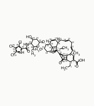 CC[C@@H]1C(C(=O)O)=C[C@]2(C)/C=C/C/C=C/C[C@@H]3C=C[C@@H]4[C@@H](OC5CC(O)C(NC(=O)c6[nH]c(Cl)c(Cl)c6Cl)C(C)O5)[C@@H](C)CC[C@H]4[C@]3(CC)C(=O)C3=C(O)C2C1C3=O